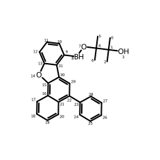 CC(C)(O)C(C)(C)OBc1cccc2oc3c4ccccc4c(-c4ccccc4)cc3c12